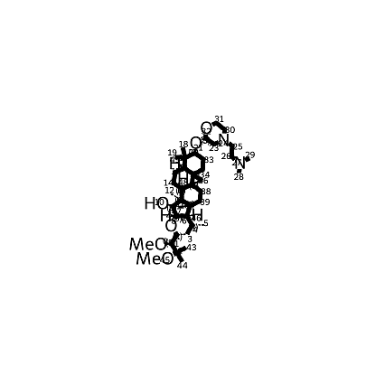 CO[C@@H]([C@H]1C[C@@H](C)[C@H]2[C@H](O1)[C@H](O)[C@@]1(C)[C@@H]3CC[C@H]4C(C)(C)[C@@H](O[C@H]5CN(CCN(C)C)CCO5)CCC45C[C@@]35CC[C@]21C)C(C)(C)OC